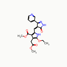 CCOc1[nH]c(C=C2C(=O)NN=C2c2cccnc2)c(C(=O)OC)c1CC(=O)OC